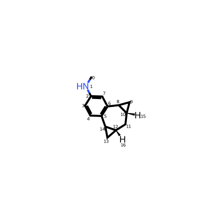 CNc1ccc2c(c1)C1C[C@@H]1C[C@@H]1CC21